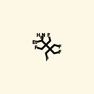 CCC(N)C(CF)(CF)C(CF)(CF)CF